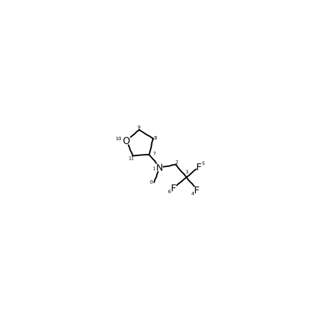 CN(CC(F)(F)F)C1CCOC1